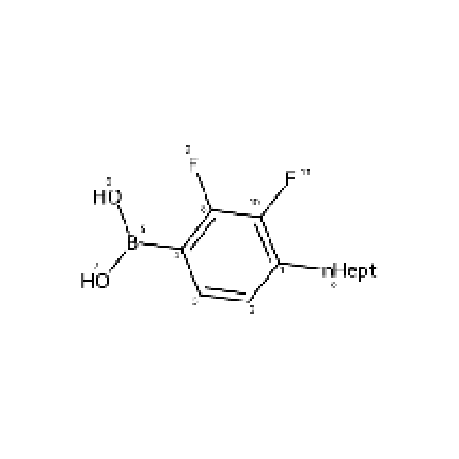 CCCCCCCc1ccc(B(O)O)c(F)c1F